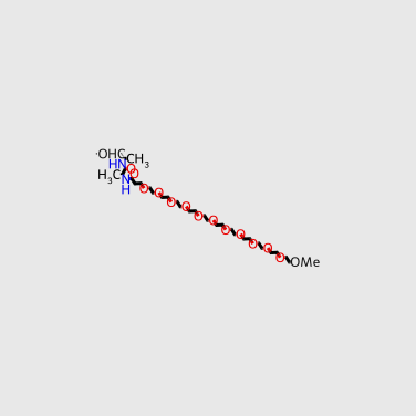 COCCOCCOCCOCCOCCOCCOCCOCCOCCOCCOCCOCCC(=O)N[C@@H](C)C(=O)N[C@@H](C)[C]=O